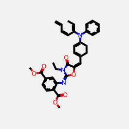 C=C/C=C\C(=C/C)N(C1=CC=C(/C=C2/O/C(=N/c3cc(C(=O)OC)ccc3C(=O)OC)N(CC)C2=O)CC1)c1ccccc1